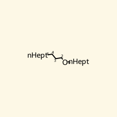 [CH2]CCCCCCOCCCCCCCCCC